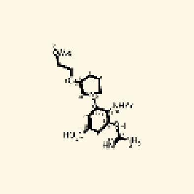 COCCO[C@H]1CCCN([C@@H]2C=C(C(=O)O)C[C@H](NC(=N)N)[C@H]2NC(C)=O)C1